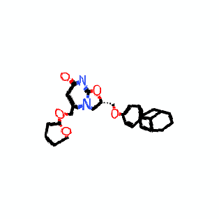 O=c1cc(COC2CCCCO2)n2c(n1)O[C@H](COc1ccc(C3C4CCCC3CCC4)cc1)C2